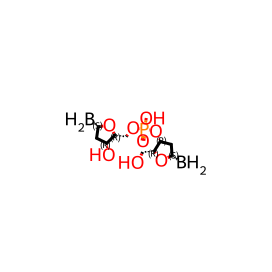 B[C@H]1C[C@@H](O)[C@@H](COP(=O)(O)O[C@@H]2C[C@H](B)O[C@@H]2CO)O1